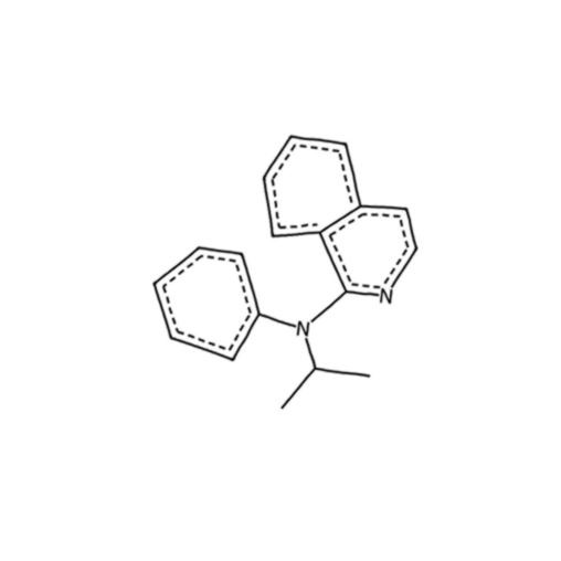 CC(C)N(c1ccccc1)c1nccc2ccccc12